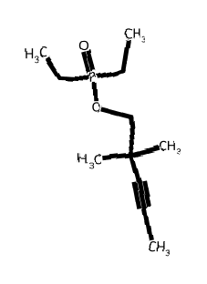 CC#CC(C)(C)COP(=O)(CC)CC